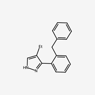 CCc1c[nH]nc1-c1ccccc1Cc1ccccc1